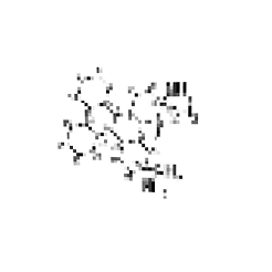 CC1(C)CC(C(C2CCCCC2)C(C2CCCCC2)C2CCC(N)(N)CC2)CCC1(N)N